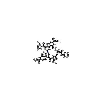 CCn1nc(C)cc1C(=O)Nc1nc2cc(C(N)=O)cc(OCCCNC(=O)CN3CCOCC3)c2n1C/C=C/[C@H]1COc2cc(C(N)=O)cc3nc(NC(=O)c4cc(C)nn4CC)n1c23